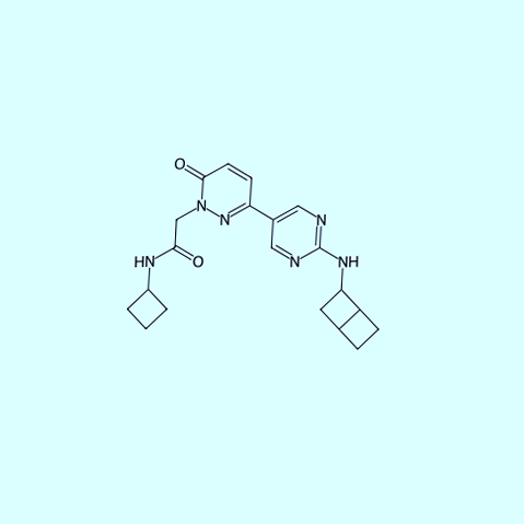 O=C(Cn1nc(-c2cnc(NC3CC4CCC43)nc2)ccc1=O)NC1CCC1